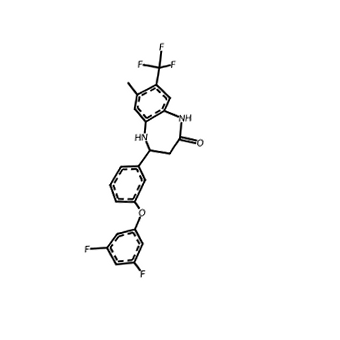 Cc1cc2c(cc1C(F)(F)F)NC(=O)CC(c1cccc(Oc3cc(F)cc(F)c3)c1)N2